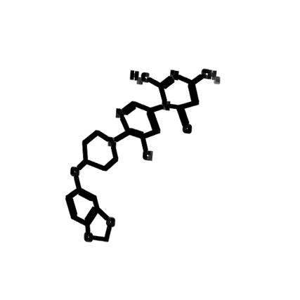 Cc1cc(=O)n(-c2cnc(N3CCC(Oc4ccc5c(c4)OCO5)CC3)c(Cl)c2)c(C)n1